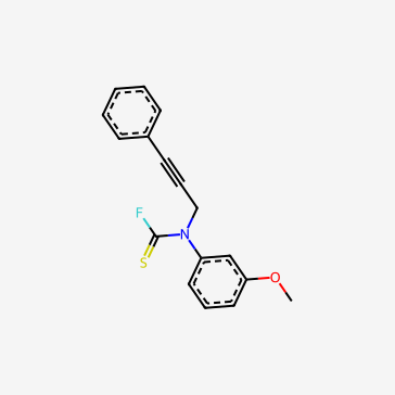 COc1cccc(N(CC#Cc2ccccc2)C(F)=S)c1